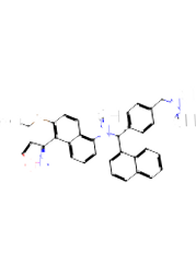 COCSc1ccc2c(N(C)C(c3ccc(CN(C)C)cc3)c3cccc4ccccc34)cccc2c1-c1ccon1